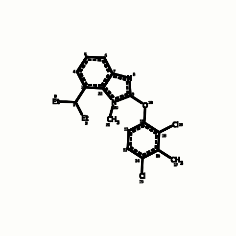 CCC(CC)c1cccc2nc(Oc3ccc(Cl)c(C)c3Cl)n(C)c12